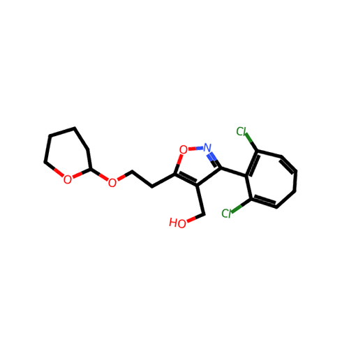 OCc1c(C2=C(Cl)C=CCC=C2Cl)noc1CCOC1CCCCO1